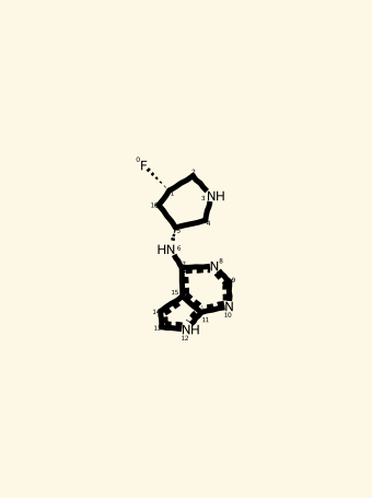 F[C@@H]1CNC[C@H](Nc2ncnc3[nH]ccc23)C1